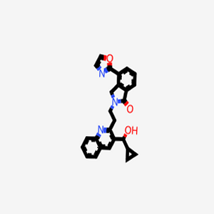 O=C1c2cccc(-c3ncco3)c2CN1CCc1nc2ccccc2cc1C(O)C1CC1